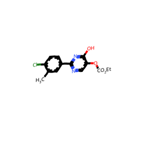 CCOC(=O)Oc1cnc(-c2ccc(Cl)c(C)c2)nc1O